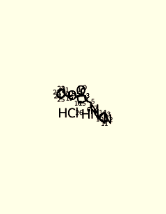 COc1cc(CC=NNc2ccncc2)ccc1OCc1ccccc1.Cl